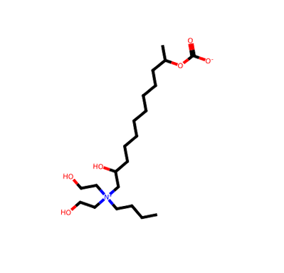 CCCC[N+](CCO)(CCO)CC(O)CCCCCCCCC(C)OC(=O)[O-]